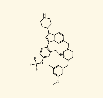 COc1cc(C)cc(CN2CCN(Cc3ccc4c(c3)c(-c3ccc(OC(F)(F)F)cc3CN)cn4C3CCNCC3)CC2)c1